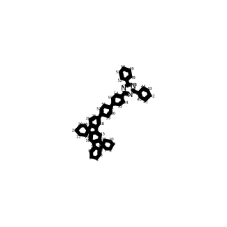 C1=C2C(=CCC1)C1(CCCCC1)c1cc3c(cc12)C1(CCCCC1)c1ccc(-c2ccc(-c4ccc(-c5nc(-c6ccccc6)nc(-c6ccccc6)n5)cc4)cc2)cc1-3